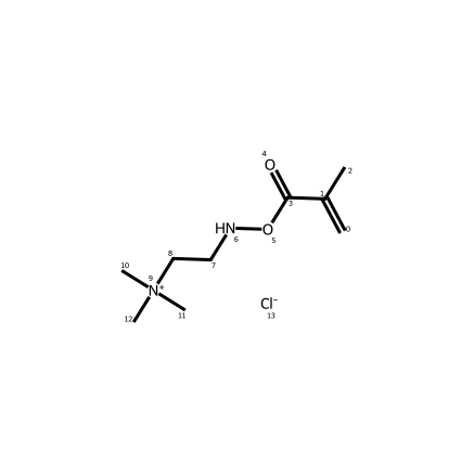 C=C(C)C(=O)ONCC[N+](C)(C)C.[Cl-]